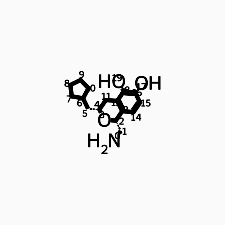 NC[C@@H]1O[C@H](CC2CCCC2)Cc2c1ccc(O)c2O